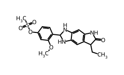 CCC1C(=O)Nc2cc3c(cc21)NC(c1ccc(OS(C)(=O)=O)cc1OC)N3